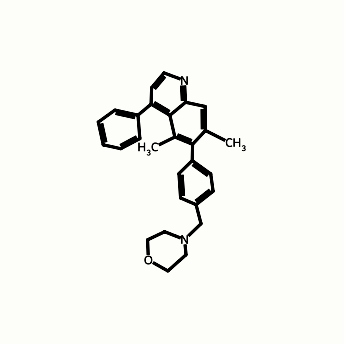 Cc1cc2nccc(-c3ccccc3)c2c(C)c1-c1ccc(CN2CCOCC2)cc1